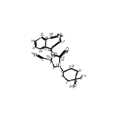 N#C[C@@H]1CN(C2CCC(F)(F)CC2)C(=O)N1c1cncc2ccccc12